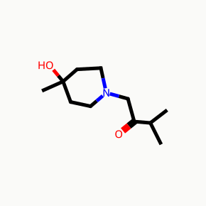 CC(C)C(=O)CN1CCC(C)(O)CC1